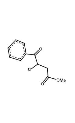 COC(=O)CC(Cl)C(=O)c1ccccc1